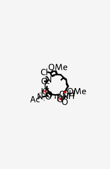 COc1cc2cc(c1Cl)N(C)C(=O)C[C@@H]1OC([C@H](C)N(C)C(C)=O)O[C@@]3(O[C@@]13C)[C@H](C)[C@@H]1C[C@@](O)(NC(=O)O1)[C@H](OC)/C=C/C=C(\C)C2